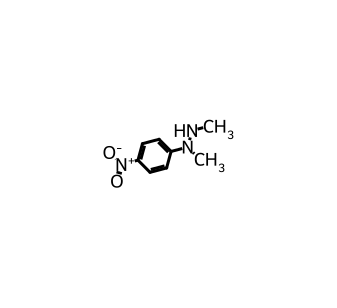 CNN(C)c1ccc([N+](=O)[O-])cc1